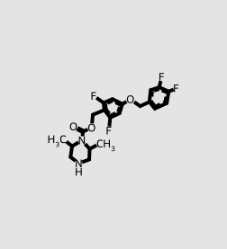 CC1CNCC(C)N1C(=O)OCc1c(F)cc(OCc2ccc(F)c(F)c2)cc1F